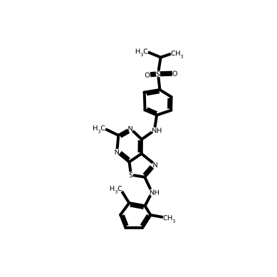 Cc1nc(Nc2ccc(S(=O)(=O)C(C)C)cc2)c2nc(Nc3c(C)cccc3C)sc2n1